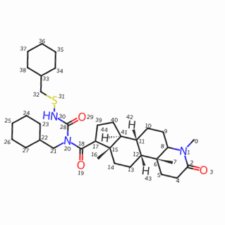 CN1C(=O)CC[C@@]2(C)C1CC[C@@H]1[C@H]2CC[C@]2(C)C(C(=O)N(CC3CCCCC3)C(=O)NSCC3CCCCC3)CC[C@@H]12